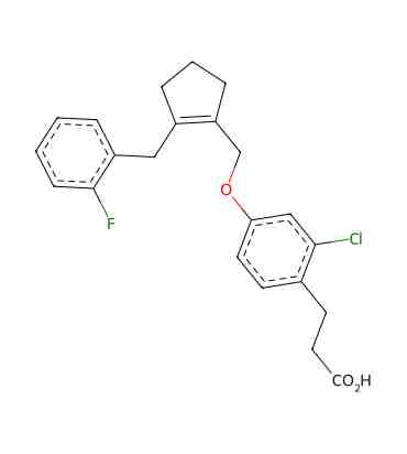 O=C(O)CCc1ccc(OCC2=C(Cc3ccccc3F)CCC2)cc1Cl